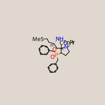 CCCN1CCC(P(=O)(Cc2ccccc2)Cc2ccccc2)[C@]1(C(=O)O)C(=O)[C@@H](N)CCSC